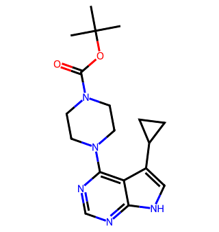 CC(C)(C)OC(=O)N1CCN(c2ncnc3[nH]cc(C4CC4)c23)CC1